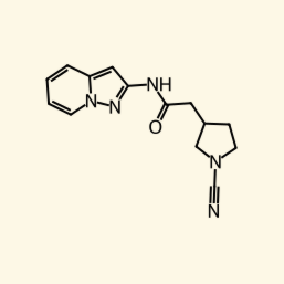 N#CN1CCC(CC(=O)Nc2cc3ccccn3n2)C1